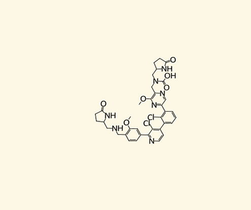 COc1cc(-c2nccc(-c3cccc(-c4cnc(CN(CC5CCC(=O)N5)C(=O)O)c(OC)n4)c3Cl)c2Cl)ccc1CNCC1CCC(=O)N1